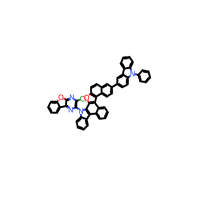 Clc1nc2oc3ccccc3c2nc1-n1c2ccccc2c2c3ccccc3c3c(oc4ccc5cc(-c6ccc7c(c6)c6ccccc6n7-c6ccccc6)ccc5c43)c21